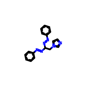 c1ccc(N=NC(Cn2ccnc2)N=Nc2ccccc2)cc1